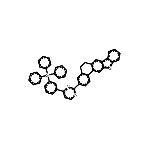 c1ccc([Si](c2ccccc2)(c2ccccc2)c2cccc(-c3ccnc(-c4ccc5c(c4)CCc4cc6c(cc4-5)sc4ccccc46)n3)c2)cc1